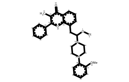 CCOC(Cc1cccc2c(=O)c(C)c(-c3ccccc3)oc12)N1CCN(c2ccccc2OC)CC1